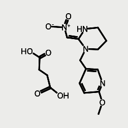 COc1ccc(CN2CCCNC2=C[N+](=O)[O-])cn1.O=C(O)CCC(=O)O